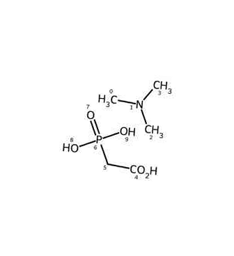 CN(C)C.O=C(O)CP(=O)(O)O